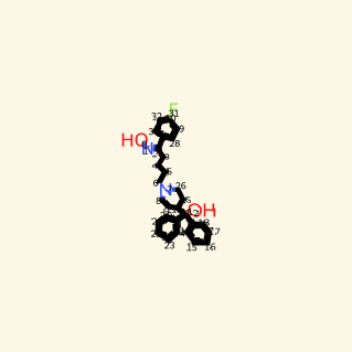 ON=C(CCCCN1CCC(C(O)(c2ccccc2)c2ccccc2)CC1)c1ccc(F)cc1